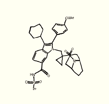 COc1ccc(-c2c(C3CCCCC3)c3ccc(C(=O)NS(=O)(=O)C(C)C)cc3n2CC2(C(=O)N3C4CCC3CC(=O)C4)CC2)cc1